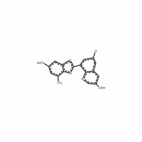 COc1cnc2c(-c3nc4c(C)cc(OC)cc4s3)cc(Cl)cc2c1